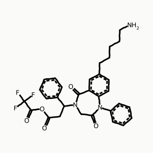 NCCCCCc1ccc2c(c1)C(=O)N(C(CC(=O)OC(=O)C(F)(F)F)c1ccccc1)CC(=O)N2c1ccccc1